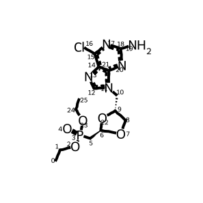 CCOP(=O)(C[C@@H]1OC[C@@H](Cn2cnc3c(Cl)nc(N)nc32)O1)OCC